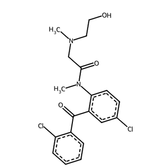 CN(CCO)CC(=O)N(C)c1ccc(Cl)cc1C(=O)c1ccccc1Cl